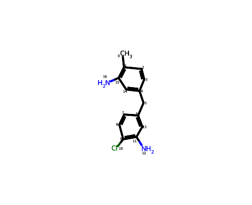 Cc1ccc(Cc2ccc(Cl)c(N)c2)cc1N